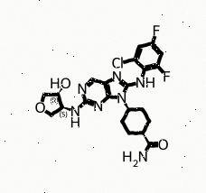 NC(=O)[C@H]1CC[C@@H](n2c(Nc3c(F)cc(F)cc3Cl)nc3cnc(N[C@H]4COC[C@@H]4O)nc32)CC1